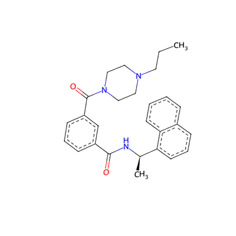 CCCN1CCN(C(=O)c2cccc(C(=O)N[C@H](C)c3cccc4ccccc34)c2)CC1